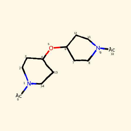 CC(=O)N1CCC(OC2CCN(C(C)=O)CC2)CC1